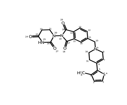 Cc1ccsc1C1=CCN(Cc2ccc3c(c2)C(=O)N(N2CCC(=O)NC2=O)C3=O)CC1